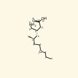 CCCOCC[C@@H](C)C[C@H](CN)CC(=O)O